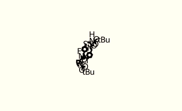 CC(C)(C)OC(=O)N[C@H]1CSc2cc(F)c(-c3noc(C45CC(CN(C(=O)OC(C)(C)C)C4)C5)n3)cc2N(Cc2ccc(Cl)cc2)C1=O